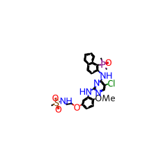 COc1ccc(OCCNS(C)(=O)=O)cc1Nc1ncc(Cl)c(Nc2ccc3ccccc3c2P(C)(C)=O)n1